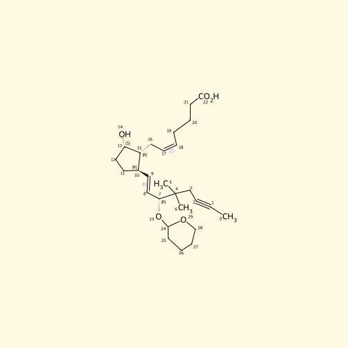 CC#CCC(C)(C)[C@@H](/C=C/[C@H]1CC[C@H](O)[C@@H]1C/C=C\CCCC(=O)O)OC1CCCCO1